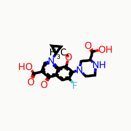 COc1c(N2CCNC(C(=O)O)C2)c(F)cc2c(=O)c(C(=O)O)cn(C3CC3)c12